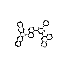 c1ccc(-c2nc(-c3cccc4c(-n5c6cc7ccccc7cc6c6cc7ccccc7cc65)cccc34)nc(-c3cc4ccccc4c4ccccc34)n2)cc1